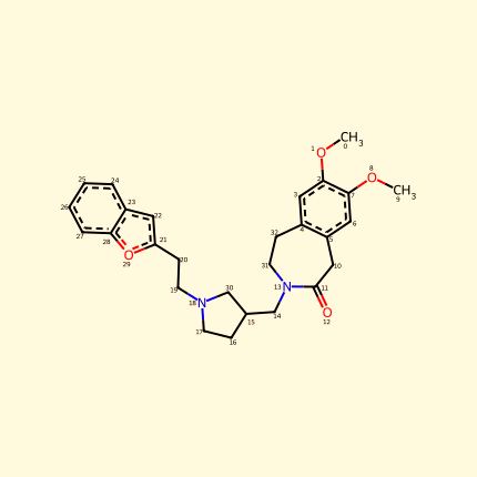 COc1cc2c(cc1OC)CC(=O)N(CC1CCN(CCc3cc4ccccc4o3)C1)CC2